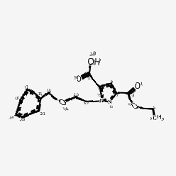 CCOC(=O)c1cc(C(=O)O)n(CCOCc2ccccc2)n1